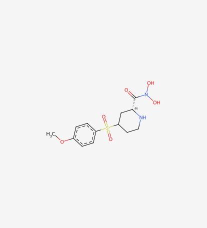 COc1ccc(S(=O)(=O)C2CCN[C@@H](C(=O)N(O)O)C2)cc1